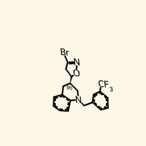 FC(F)(F)c1cccc(CN2C[C@H](C3CC(Br)=NO3)Cc3ccccc32)c1